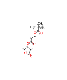 CCC(C)(C)C(=O)OCCC(=O)OC1COC(=O)C1